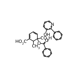 CC1C(C(=O)O)=CC=CC1(OC(=O)c1ccccc1)C(=O)O.Oc1cccnc1-c1ccccc1